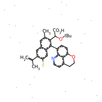 C=C(C)c1cc2cc(C)c(C(OC(C)(C)C)C(=O)O)c(-c3ccc4c5c(ccnc35)CCO4)c2cc1F